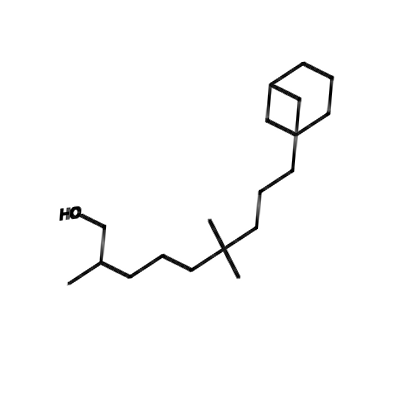 CC(CO)CCCC(C)(C)CCCC12CCCC(C1)C2